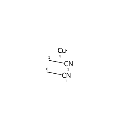 CC#N.CC#N.[Cu]